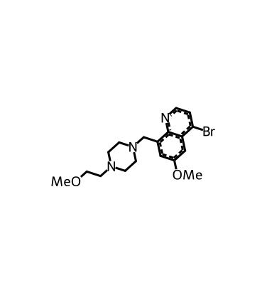 COCCN1CCN(Cc2cc(OC)cc3c(Br)ccnc23)CC1